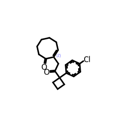 O=C1CCCCC/C=C\1CC(=O)C1(c2ccc(Cl)cc2)CCC1